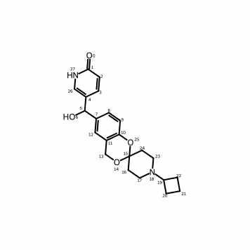 O=c1ccc(C(O)c2ccc3c(c2)COC2(CCN(C4CCC4)CC2)O3)c[nH]1